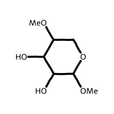 COC1COC(OC)C(O)C1O